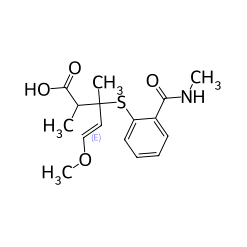 CNC(=O)c1ccccc1SC(C)(/C=C/OC)C(C)C(=O)O